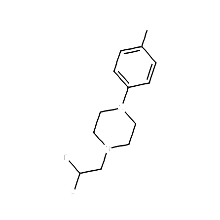 FC(F)CN1CCN(c2ccc(I)cc2)CC1